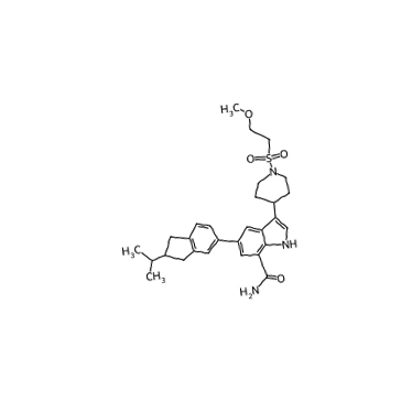 COCCS(=O)(=O)N1CCC(c2c[nH]c3c(C(N)=O)cc(-c4ccc5c(c4)CC(C(C)C)C5)cc23)CC1